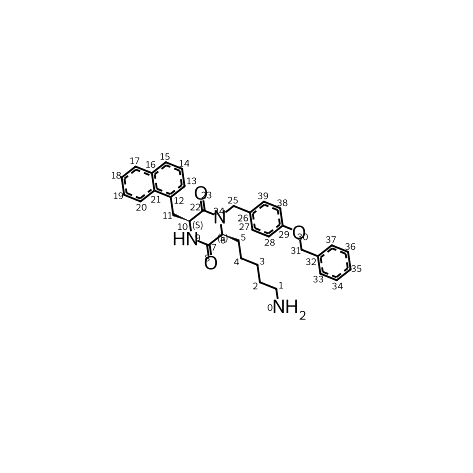 NCCCCC[C@H]1C(=O)N[C@@H](Cc2cccc3ccccc23)C(=O)N1Cc1ccc(OCc2ccccc2)cc1